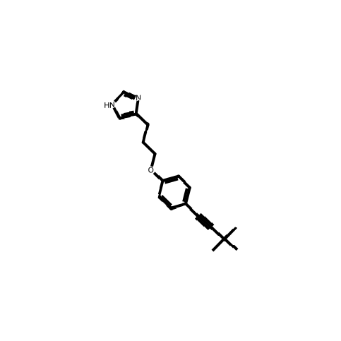 CC(C)(C)C#Cc1ccc(OCCCc2c[nH]cn2)cc1